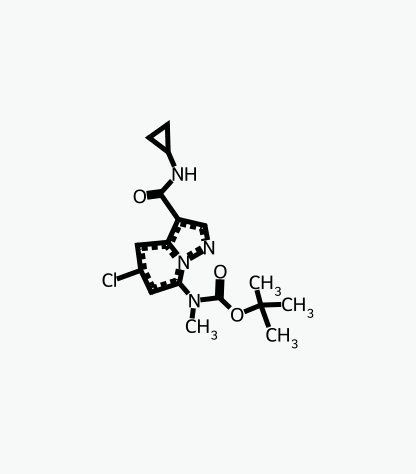 CN(C(=O)OC(C)(C)C)c1cc(Cl)cc2c(C(=O)NC3CC3)cnn12